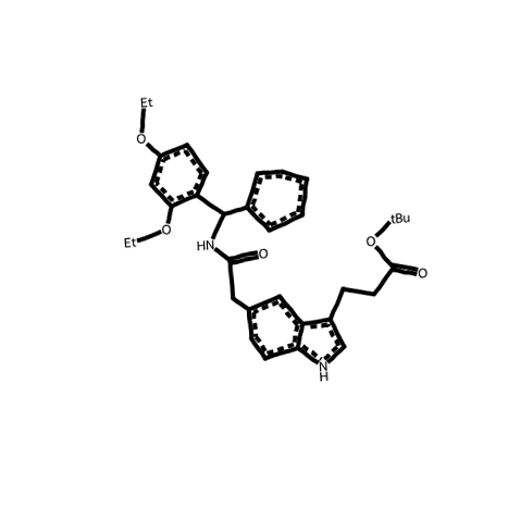 CCOc1ccc(C(NC(=O)Cc2ccc3[nH]cc(CCC(=O)OC(C)(C)C)c3c2)c2ccccc2)c(OCC)c1